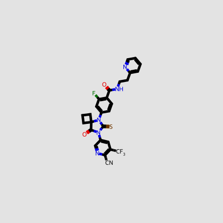 N#Cc1ncc(N2C(=O)C3(CCC3)N(c3ccc(C(=O)NCCc4ccccn4)c(F)c3)C2=S)cc1C(F)(F)F